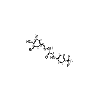 O=C(CNc1ccc(C(F)(F)F)cc1)NN=Cc1cc(Br)c(O)c(Br)c1